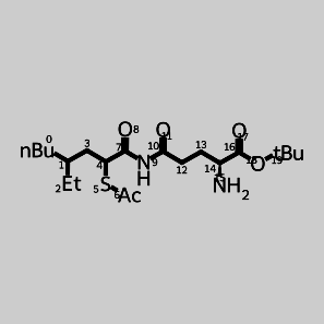 CCCCC(CC)CC(SC(C)=O)C(=O)NC(=O)CC[C@H](N)C(=O)OC(C)(C)C